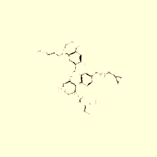 CC[C@H](O)CO[C@@H]1CNC[C@H](OCc2ccc3c(c2)N(CCCOC)CCO3)[C@H]1c1ccc(COCC2CC2)cc1